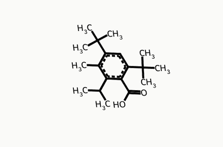 Cc1c(C(C)(C)C)cc(C(C)(C)C)c(C(=O)O)c1C(C)C